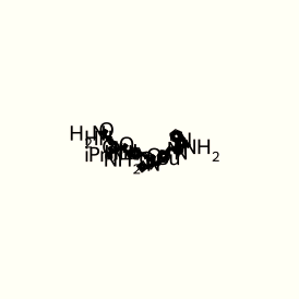 CCCCc1nc2c(N)nc3ccccc3c2n1Cc1ccc(CN(CC2CCC2)C(=O)OCc2ccc(NC(=O)[C@H](CCCNC(N)=O)NC(=O)[C@@H](N)C(C)C)cc2)cc1